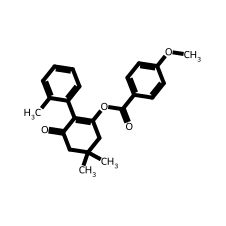 COc1ccc(C(=O)OC2=C(c3ccccc3C)C(=O)CC(C)(C)C2)cc1